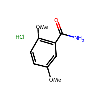 COc1ccc(OC)c(C(N)=O)c1.Cl